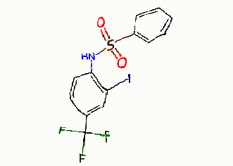 O=S(=O)(Nc1ccc(C(F)(F)F)cc1I)c1ccccc1